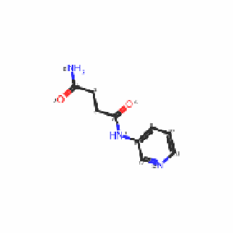 NC(=O)CCC(=O)Nc1cccnc1